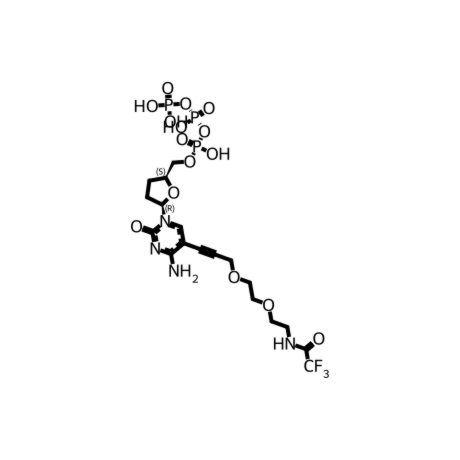 Nc1nc(=O)n([C@H]2CC[C@@H](COP(=O)(O)OP(=O)(O)OP(=O)(O)O)O2)cc1C#CCOCCOCCNC(=O)C(F)(F)F